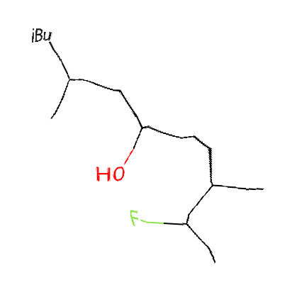 CCC(C)C(C)CC(O)CC(C)C(C)F